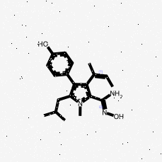 C/C=C(/C)c1c(-c2ccc(O)cc2)c(CC(C)C)n(C)c1/C(N)=N/O